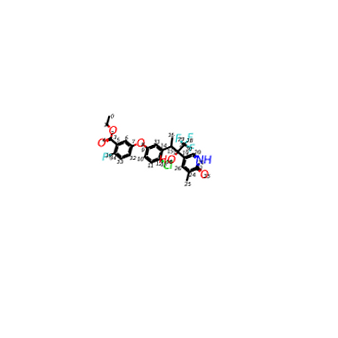 CCOC(=O)c1cc(Oc2ccc(Cl)c(C(C)C(O)(c3c[nH]c(=O)c(C)c3)C(F)(F)F)c2)ccc1F